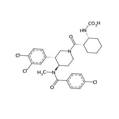 CN(C(=O)c1ccc(Cl)cc1)[C@@H]1CCN(C(=O)[C@H]2CCCC[C@H]2NC(=O)O)C[C@H]1c1ccc(Cl)c(Cl)c1